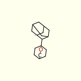 C1CC2(C3[C]4CC5CC(C4)CC3C5)CCC1CO2